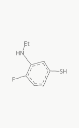 CCNc1cc(S)ccc1F